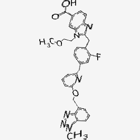 COCCn1c(Cc2ccc(-c3cccc(OCc4cccc5c4nnn5C)n3)cc2F)nc2ccc(C(=O)O)cc21